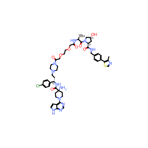 Cc1ncsc1-c1ccc(CNC(=O)[C@@H]2C[C@@H](O)CN2C(=O)C(NC(=O)COCCOCC(=O)N2CCN(CC[C@H](NC(=O)C3(N)CCN(c4ncnc5[nH]ccc45)CC3)c3ccc(Cl)cc3)CC2)C(C)(C)C)cc1